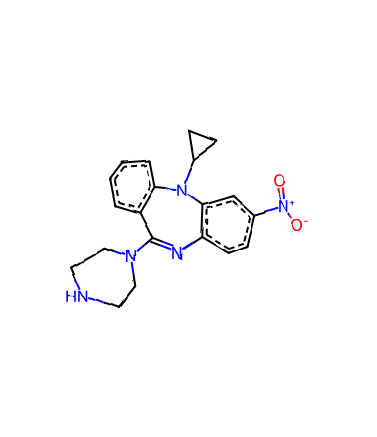 O=[N+]([O-])c1ccc2c(c1)N(C1CC1)c1ccccc1C(N1CCNCC1)=N2